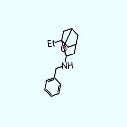 CCC12CC3CC(C1)CC(NCc1ccccc1)(C3)O2